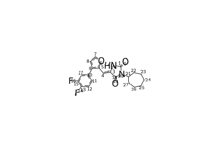 O=C1NC(=Cc2occc2-c2ccc(F)c(F)c2)C(=O)N1C1CCCCCC1